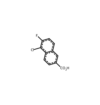 O=C(O)c1ccc2c(Cl)c(F)ccc2c1